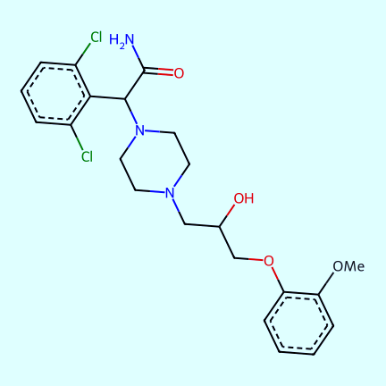 COc1ccccc1OCC(O)CN1CCN(C(C(N)=O)c2c(Cl)cccc2Cl)CC1